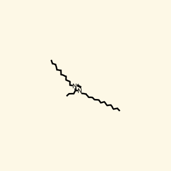 CCCCCCCCCCCCCn1cc[n+](CCCCCCCCCC)c1CCC